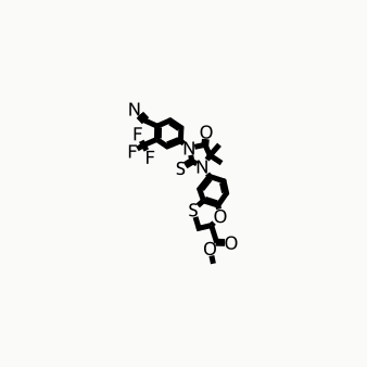 COC(=O)C1CSc2cc(N3C(=S)N(c4ccc(C#N)c(C(F)(F)F)c4)C(=O)C3(C)C)ccc2O1